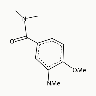 CNc1cc(C(=O)N(C)C)ccc1OC